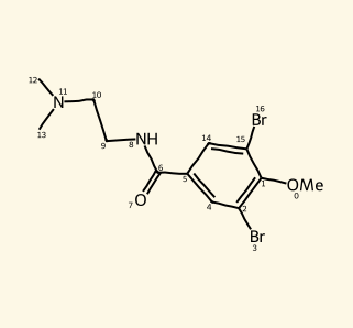 COc1c(Br)cc(C(=O)NCCN(C)C)cc1Br